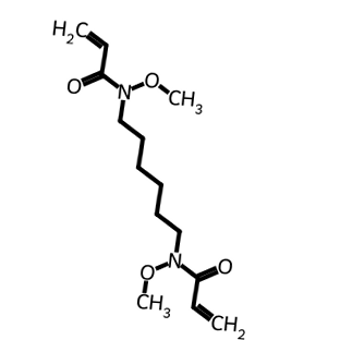 C=CC(=O)N(CCCCCCN(OC)C(=O)C=C)OC